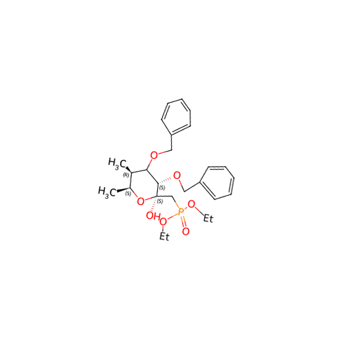 CCOP(=O)(C[C@@]1(O)O[C@@H](C)[C@@H](C)C(OCc2ccccc2)[C@@H]1OCc1ccccc1)OCC